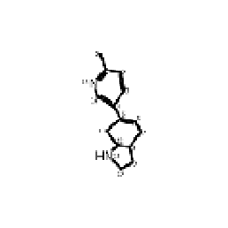 Cc1ccc(C2=CCC3CCNC3C2)cn1